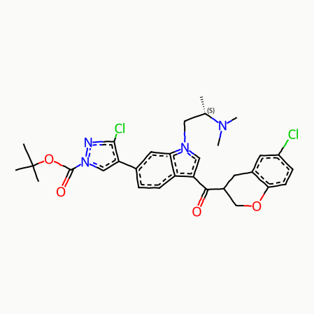 C[C@@H](Cn1cc(C(=O)C2COc3ccc(Cl)cc3C2)c2ccc(-c3cn(C(=O)OC(C)(C)C)nc3Cl)cc21)N(C)C